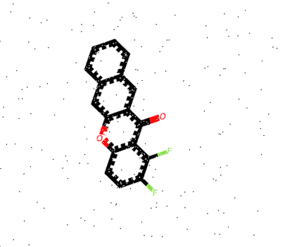 O=c1c2cc3ccccc3cc2oc2ccc(F)c(F)c12